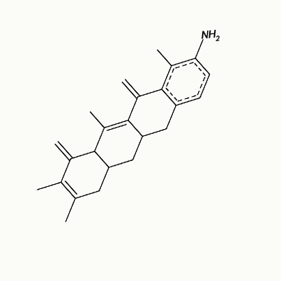 C=C1C2=C(C)C3C(=C)C(C)=C(C)CC3CC2Cc2ccc(N)c(C)c21